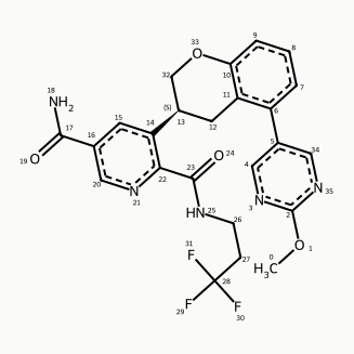 COc1ncc(-c2cccc3c2C[C@@H](c2cc(C(N)=O)cnc2C(=O)NCCC(F)(F)F)CO3)cn1